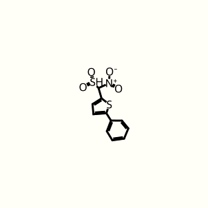 O=[N+]([O-])C(c1ccc(-c2ccccc2)s1)[SH](=O)=O